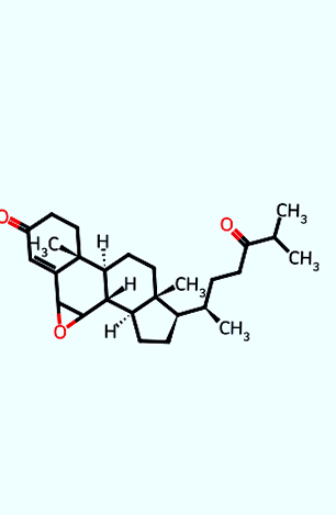 CC(C)C(=O)CC[C@@H](C)[C@H]1CC[C@H]2[C@@H]3C4OC4C4=CC(=O)CC[C@]4(C)[C@H]3CC[C@]12C